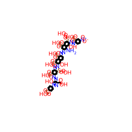 Nc1c(N=Nc2ccc3c(O)c(N=Nc4cc(S(=O)(=O)O)c(N=Nc5c(C(=O)O)nn(-c6ccc(S(=O)(=O)O)cc6)c5O)cc4SOOO)c(S(=O)(=O)O)cc3c2S(=O)(=O)O)cc(S(=O)(=O)O)c2cc(SOOO)c(N=Nc3ccc([N+](=O)[O-])cc3S(=O)(=O)O)c(O)c12